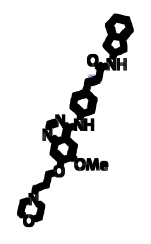 COc1cc2c(Nc3ccc(/C=C/C(=O)NC4Cc5ccccc5C4)cc3)ncnc2cc1OCCCN1CCOCC1